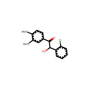 COc1ccc(C(=O)C(O)c2ccccc2Cl)cc1OC